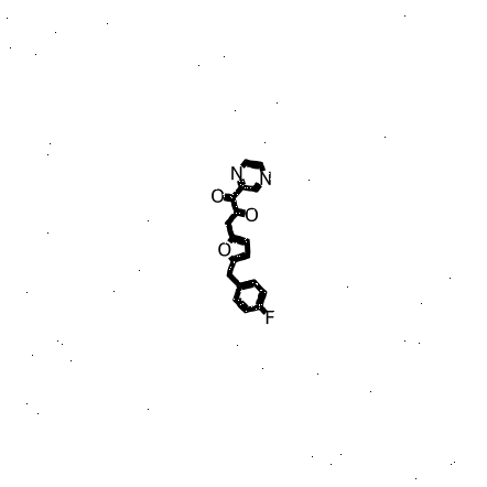 O=C(Cc1ccc(Cc2ccc(F)cc2)o1)C(=O)c1cnccn1